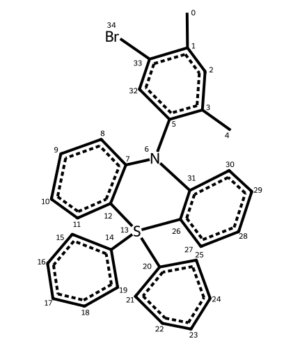 Cc1cc(C)c(N2c3ccccc3S(c3ccccc3)(c3ccccc3)c3ccccc32)cc1Br